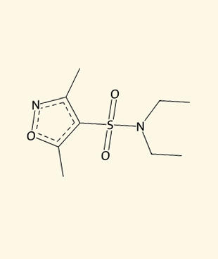 CCN(CC)S(=O)(=O)c1c(C)noc1C